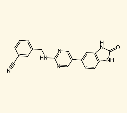 N#Cc1cccc(CNc2ncc(-c3ccc4[nH]c(=O)[nH]c4c3)cn2)c1